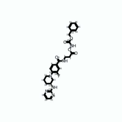 O=C(CCNC(=O)c1ccc(N2CCC[C@H](Nc3ncccn3)C2)c(F)c1)ONC(=O)OCc1ccccc1